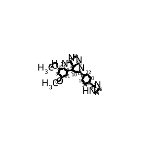 COc1cc(OC)cc(-c2cc(-c3ccc(-c4ncc[nH]4)cc3)nc3ncnc(N)c23)c1